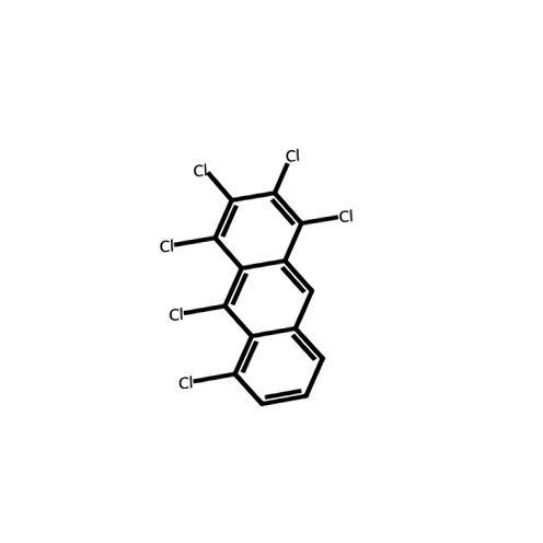 Clc1c(Cl)c(Cl)c2c(Cl)c3c(Cl)cccc3cc2c1Cl